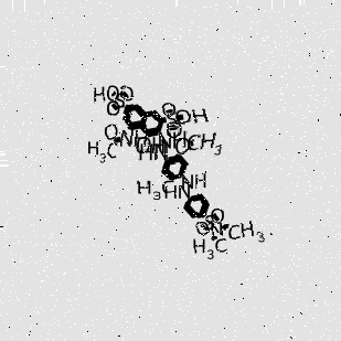 CCN(CC)S(=O)(=O)c1ccc(NNc2cc(OC)c(NNc3c(S(=O)(=O)O)cc4cc(S(=O)(=O)O)cc(NC(C)=O)c4c3O)cc2C)cc1